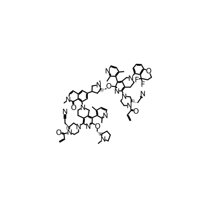 C=CC(=O)N1CCN(c2nc(OC[C@@H]3CC(c4cc(N5CCc6c(N7CCN(C(=O)C=C)[C@@H](CC#N)C7)nc(OC[C@@H]7CCCN7C)c(-c7c(C)ccnc7C)c6C5)c5c(=O)n(C)ccc5c4)CN3C)c(-c3c(C)ccnc3C)c3c2CCN(c2cccc4c2C(F)(F)CCO4)C3)C[C@@H]1CC#N